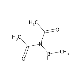 CBN(C(C)=O)C(C)=O